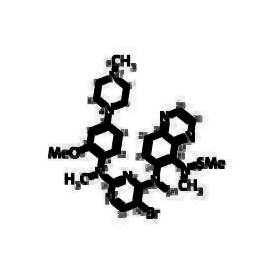 COc1cc(N2CCN(C)CC2)ccc1N(C)c1ncc(Br)c(N(I)c2ccc3nccnc3c2N(C)SC)n1